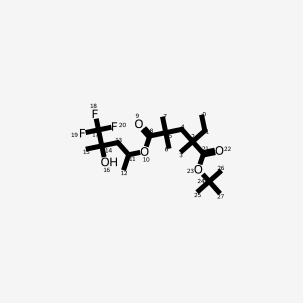 CCC(C)(CC(C)(C)C(=O)OC(C)CC(C)(O)C(F)(F)F)C(=O)OC(C)(C)C